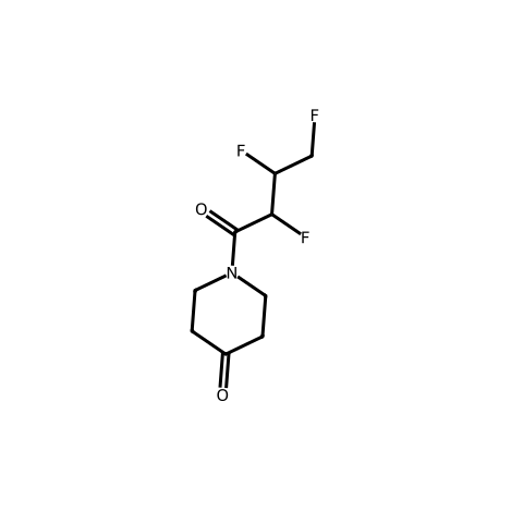 O=C1CCN(C(=O)C(F)C(F)CF)CC1